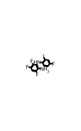 Nc1c(F)cc(F)c(F)c1Nc1ccc(F)cc1I